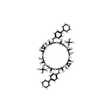 C[C@H]1OC(=O)C2(CC2)N(C)C(=O)[C@@H](Cc2ccc(C3CCOCC3)cc2)OC(=O)[C@H](CC(C)(C)F)N(C)C(=O)[C@@H](C)OC(=O)C2(CC2)N(C)C(=O)[C@@H](Cc2ccc(C3CCOCC3)cc2)OC(=O)[C@H](CC(C)(C)F)NC1=O